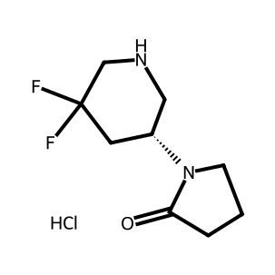 Cl.O=C1CCCN1[C@H]1CNCC(F)(F)C1